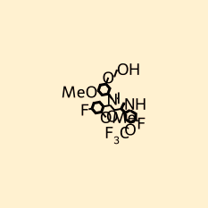 COc1cc(OCCO)cc(N(I)C(C(=O)c2c[nH]c3cc(F)c(OC(F)(F)F)cc23)c2ccc(F)cc2OC)c1